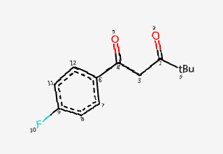 CC(C)(C)C(=O)CC(=O)c1ccc(F)cc1